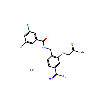 CNC(=O)COc1cc(C(=N)N)ccc1CNC(=O)c1cc(F)cc(Cl)c1.Cl